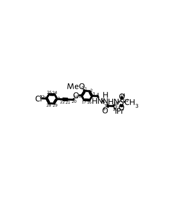 COc1cc(CNNC(=O)[C@@H](NS(C)(=O)=O)C(C)C)ccc1OCC#Cc1ccc(Cl)cc1